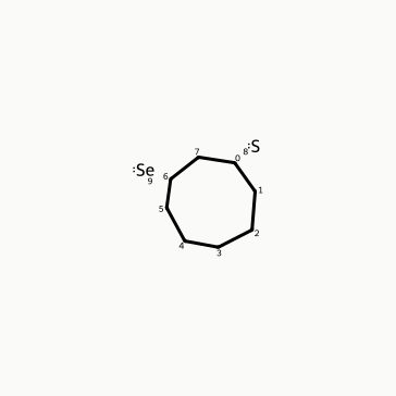 C1CCCCCCC1.[S].[Se]